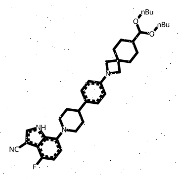 CCCCOC(OCCCC)C1CCC2(CC1)CN(c1ccc(C3CCN(c4ccc(F)c5c(C#N)c[nH]c45)CC3)cc1)C2